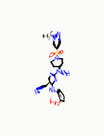 Cn1cc(S(=O)(=O)N2CCC(Nc3ncc(C#N)c(N[C@@H]4CCC[C@H]4O)n3)CC2)cn1